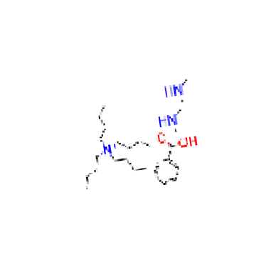 CCCC[N+](CCCC)(CCCC)CCCC.CNC.CNC.O=C(O)c1ccccc1